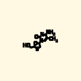 Cc1cn(C2CSC(CO)O2)c(=O)nc1N